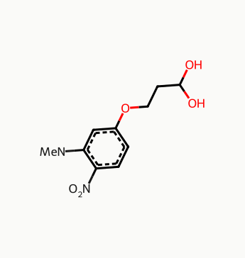 CNc1cc(OCCC(O)O)ccc1[N+](=O)[O-]